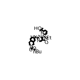 CCCCOC(=O)N1CCc2ccc(Nc3ncc4c(=O)n(CC)n(-c5cccc(C(C)(C)O)n5)c4n3)cc2C1